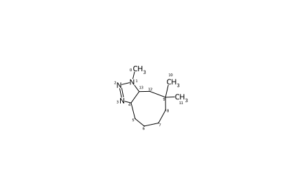 CN1N=NC2CCCCC(C)(C)CC21